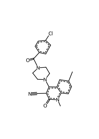 Cc1ccc2c(c1)c(N1CCN(C(=O)c3ccc(Cl)cc3)CC1)c(C#N)c(=O)n2C